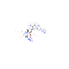 COc1nc2ccc(C(O)(c3cnnn3C)c3cnc(C)n3C)cc2c(Cl)c1CN1CCC(n2cccn2)CC1